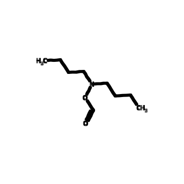 CCCCN(CCCC)OC=O